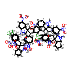 CN1/C(=C/C=C/C2=[N+](C)c3ccc([N+](=O)[O-])cc3C2(Cc2ccc(CC3(Cc4ccc([N+](=O)[O-])cc4)C(/C=C/C=C4/N(C)c5ccccc5C4(Cc4ccc(Cl)cc4[N+](=O)[O-])Cc4ccc(Cl)cc4[N+](=O)[O-])=[N+](C)c4ccc([N+](=O)[O-])cc43)cc2)Cc2ccc([N+](=O)[O-])cc2)C(Cc2ccc(Cl)c([N+](=O)[O-])c2)(Cc2ccc(Cl)cc2[N+](=O)[O-])c2ccccc21